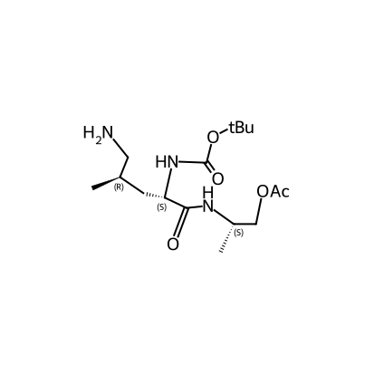 CC(=O)OC[C@H](C)NC(=O)[C@H](C[C@@H](C)CN)NC(=O)OC(C)(C)C